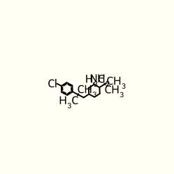 CC(C)(CC1CCC(C(C)(C)C)C(N)C1)c1ccc(Cl)cc1